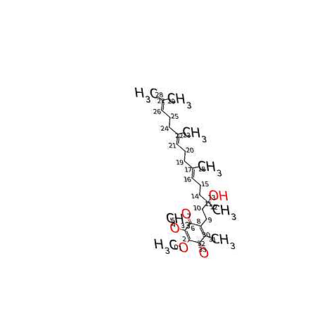 COC1=C(OC)C(=O)C(CCC(C)(O)CC/C=C(\C)CC/C=C(\C)CCC=C(C)C)=C(C)C1=O